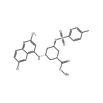 Cc1ccc(S(=O)(=O)O[C@@H]2C[C@@H](Nc3cc(C(F)(F)F)nc4ccc(Cl)cc34)CN(C(=O)OC(C)(C)C)C2)cc1